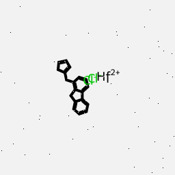 C1=CCC(Cc2cccc3c2Cc2ccccc2-3)=C1.[Cl-].[Cl-].[Hf+2]